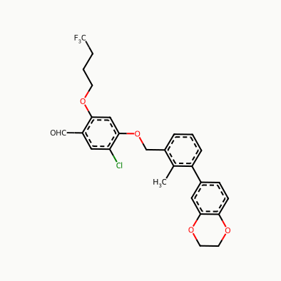 Cc1c(COc2cc(OCCCC(F)(F)F)c(C=O)cc2Cl)cccc1-c1ccc2c(c1)OCCO2